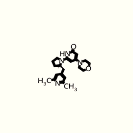 Cc1cc(C[C@H]2CCCN2c2cc(N3CCOCC3)cc(=O)[nH]2)cc(C)n1